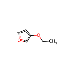 CCOc1c[c]oc1